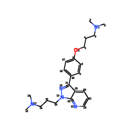 CN(C)CCCOc1ccc(-c2nn(CCCN(C)C)c3ncccc23)cc1